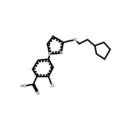 O=C(O)c1ccc(-n2ccc(OCCC3CCCC3)n2)cc1Cl